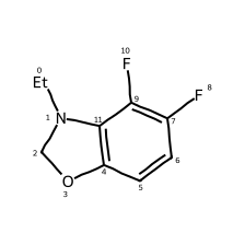 CCN1COc2ccc(F)c(F)c21